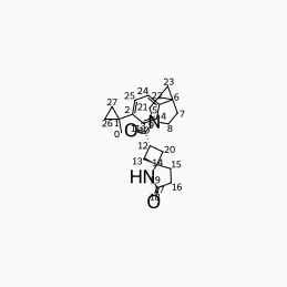 CC1(c2ccc(C34CCN(C(=O)[C@H]5C[C@]6(CCC(=O)N6)C5)CC3C4)cc2)CC1